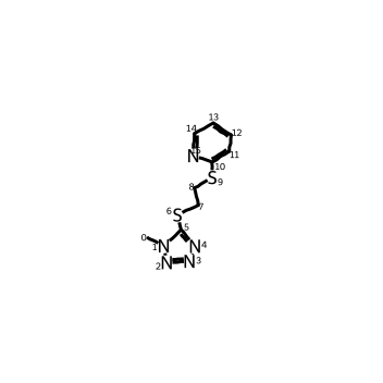 Cn1nnnc1SCCSc1ccccn1